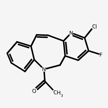 CC(=O)N1Cc2cc(F)c(Cl)nc2C=Cc2ccccc21